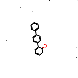 O=C1CC=CC=C1c1ccc(-c2ccccc2)cc1